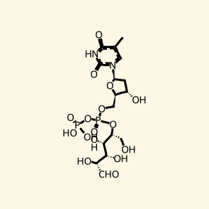 Cc1cn([C@H]2C[C@H](O)[C@@H](COP(=O)(O[C@H](CO)[C@@H](O)[C@H](O)[C@@H](O)C=O)OP(=O)(O)O)O2)c(=O)[nH]c1=O